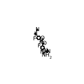 CN(C(=O)c1cc2c(cc1F)nc(N)c1cncn12)[C@@H]1COc2cc([C@@H]3C[C@H]3C#N)c(F)cc21